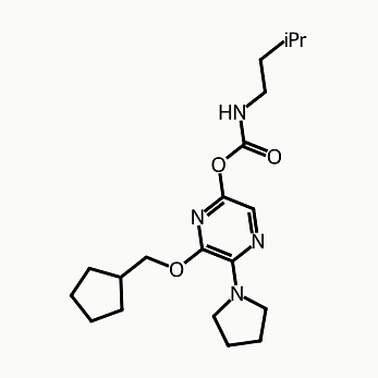 CC(C)CCNC(=O)Oc1cnc(N2CCCC2)c(OCC2CCCC2)n1